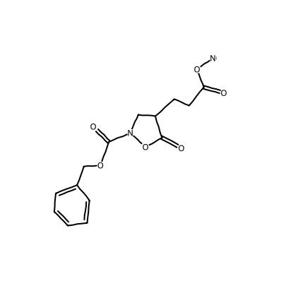 [N]OC(=O)CCC1CN(C(=O)OCc2ccccc2)OC1=O